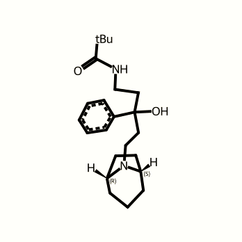 CC(C)(C)C(=O)NCCC(O)(CCN1[C@@H]2CCC[C@H]1CC2)c1ccccc1